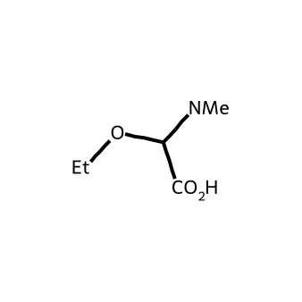 CCOC(NC)C(=O)O